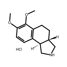 COc1ccc2c(c1OC)CC[C@@H]1CNC[C@@H]21.Cl